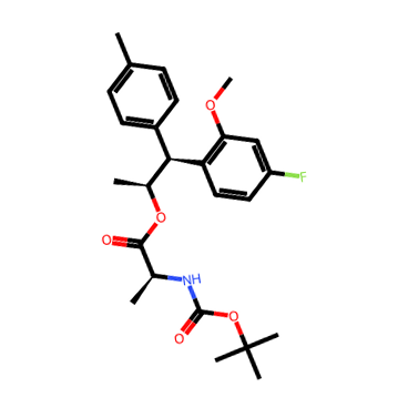 COc1cc(F)ccc1[C@H](c1ccc(C)cc1)[C@H](C)OC(=O)[C@H](C)NC(=O)OC(C)(C)C